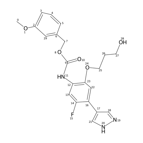 COc1cccc(COC(=O)Nc2cc(F)c(-c3cn[nH]c3)cc2OCCCO)c1